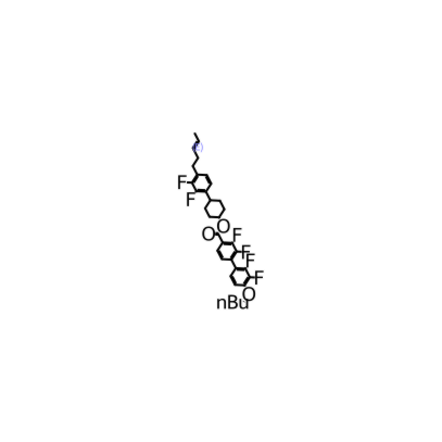 C/C=C/CCc1ccc(C2CCC(OC(=O)c3ccc(-c4ccc(OCCCC)c(F)c4F)c(F)c3F)CC2)c(F)c1F